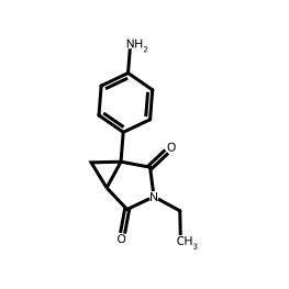 CCN1C(=O)C2CC2(c2ccc(N)cc2)C1=O